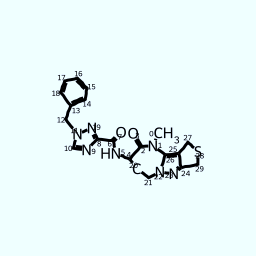 CN1C(=O)C(NC(=O)c2ncn(Cc3ccccc3)n2)CCn2nc3c(c21)CSC3